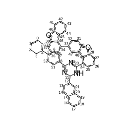 C1=CCCC(c2ccc(C3=NC(c4ccc5ccccc5c4)NC(c4cccc5oc6ccc(-c7cccc8oc9ccccc9c78)cc6c45)=N3)cc2)=C1